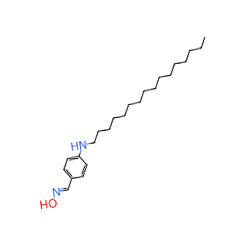 CCCCCCCCCCCCCCCCNc1ccc(C=NO)cc1